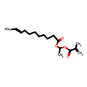 C=C(C)C(=O)OC(C)OC(=O)CCCCCCCC=CCCCCCCCC